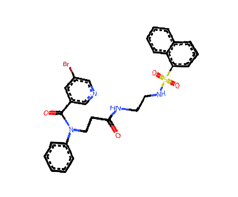 O=C(CCN(C(=O)c1cncc(Br)c1)c1ccccc1)NCCNS(=O)(=O)c1cccc2ccccc12